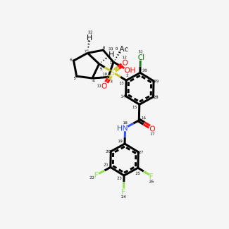 CC(=O)[C@]1(O)CC2CC[C@@H](C1)[C@H]2S(=O)(=O)c1cc(C(=O)Nc2cc(F)c(F)c(F)c2)ccc1Cl